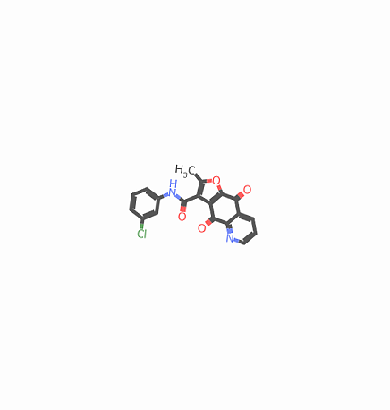 Cc1oc2c(c1C(=O)Nc1cccc(Cl)c1)C(=O)c1ncccc1C2=O